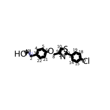 O/N=C/c1ccc(OCc2csc(-c3ccc(Cl)cc3)n2)cc1